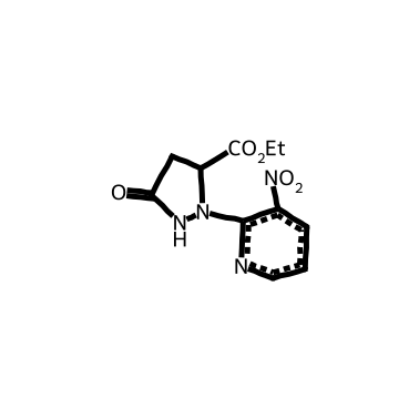 CCOC(=O)C1CC(=O)NN1c1ncccc1[N+](=O)[O-]